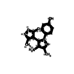 Cc1nn(-c2ccc(O)cc2)c(-c2c(C)noc2C)c1N